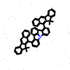 CC1(C)c2ccccc2-c2cc3ccccc3c(-c3cccc4c3c3cccc5c6c(-c7c8c(cc9ccccc79)-c7ccccc7C8(C)C)cccc6n4c35)c21